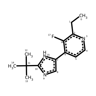 CCc1nccc(-c2cnc(C(C)(C)C)[nH]2)c1F